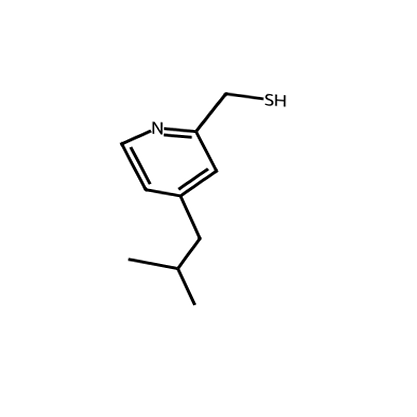 CC(C)Cc1ccnc(CS)c1